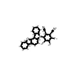 N#Cc1c(F)c(F)c(F)c(-n2c3ccccc3c3c4oc5ccccc5c4ccc32)c1C#N